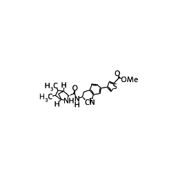 COC(=O)c1cc(-c2ccc(C[C@@H](C#N)NC(=O)[C@H]3N[C@H]4C[C@@H]3[C@H](C)[C@@H]4C)c(F)c2)cs1